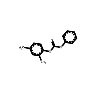 Cc1ccc(OC(=O)Oc2ccccc2)c(C)c1